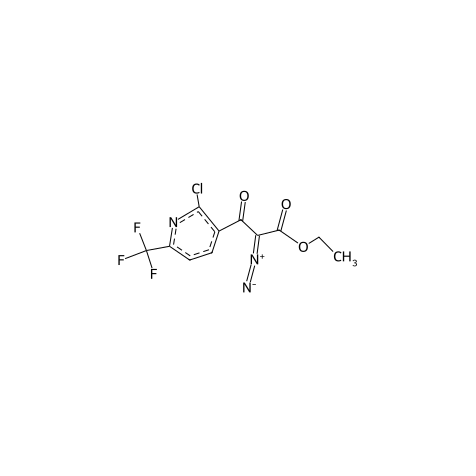 CCOC(=O)C(=[N+]=[N-])C(=O)c1ccc(C(F)(F)F)nc1Cl